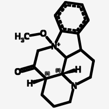 CO[N+]12CC(=O)[C@H]3CCCN4CCC(c5ccccc51)C2[C@@H]34